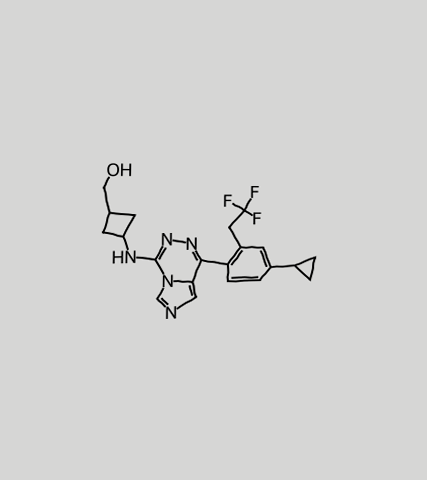 OCC1CC(Nc2nnc(-c3ccc(C4CC4)cc3CC(F)(F)F)c3cncn23)C1